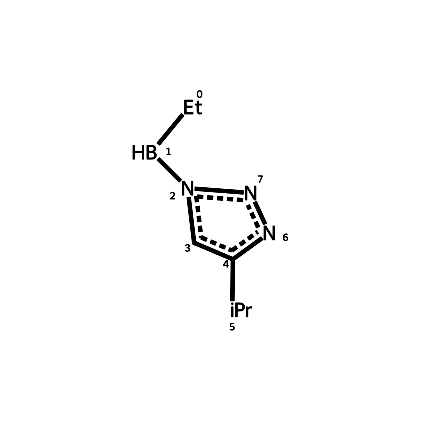 CCBn1cc(C(C)C)nn1